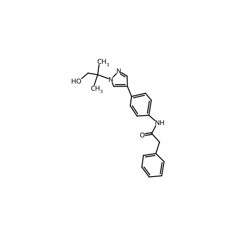 CC(C)(CO)n1cc(-c2ccc(NC(=O)Cc3ccccc3)cc2)cn1